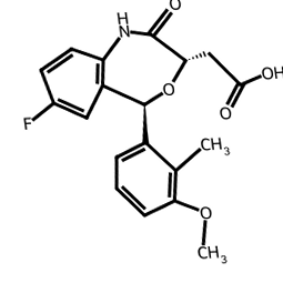 COc1cccc([C@@H]2O[C@@H](CC(=O)O)C(=O)Nc3ccc(F)cc32)c1C